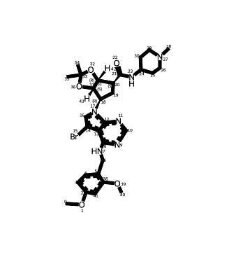 COc1ccc(CNc2ncnc3c2c(Br)cn3[C@@H]2C[C@H](C(=O)NC3CCN(C)CC3)[C@H]3OC(C)(C)O[C@H]32)c(OC)c1